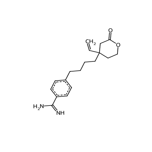 C=CC1(CCCCc2ccc(C(=N)N)cc2)CCOC(=O)C1